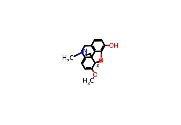 COC1=CC=C2C3Cc4ccc(O)c5c4C2(CCN3C)[C@@H]1O5